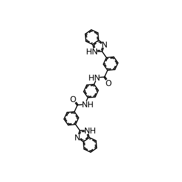 O=C(Nc1ccc(NC(=O)c2cccc(-c3nc4ccccc4[nH]3)c2)cc1)c1cccc(-c2nc3ccccc3[nH]2)c1